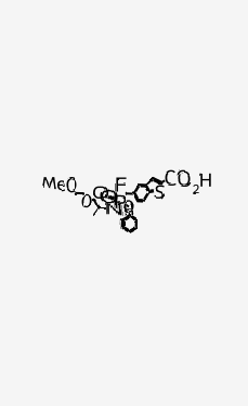 COCCOC(=O)[C@H](C)NP(=O)(Oc1ccccc1)[C@@H](F)c1ccc2sc(C(=O)O)cc2c1